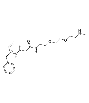 CNCCOCCOCCNC(=O)CNN[C@H](C=O)Cc1ccccc1